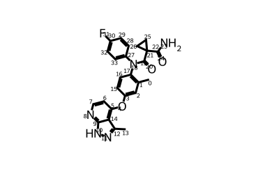 Cc1cc(Oc2ccnc3[nH]nc(C)c23)ccc1N(C(=O)C1(C(N)=O)CC1)c1ccc(F)cc1